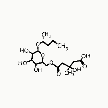 CCC[C@@H](C)OC1OC(COC(=O)C[C@@](C)(O)CC(=O)O)C(O)C(O)C1O